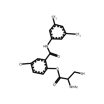 CC(=O)NC(CS)C(=O)Oc1ccc(Cl)cc1C(=O)Nc1cc(C(F)(F)F)cc(C(F)(F)F)c1